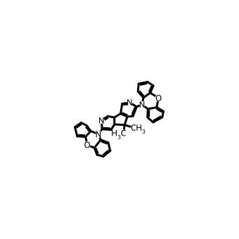 CC1(C)c2cc(N3c4ccccc4Oc4ccccc43)ncc2C2C=NC(N3c4ccccc4Oc4ccccc43)=CC21